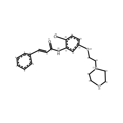 O=C(C=Cc1ccccc1)Nc1cc(OCCN2CCOCC2)ccc1Cl